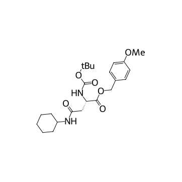 COc1ccc(COC(=O)[C@H](CC(=O)NC2CCCCC2)NC(=O)OC(C)(C)C)cc1